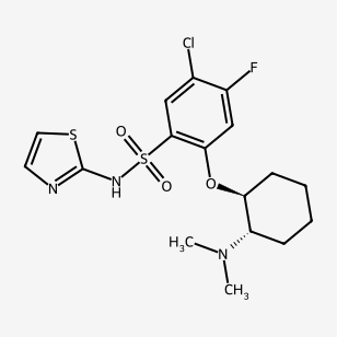 CN(C)[C@H]1CCCC[C@@H]1Oc1cc(F)c(Cl)cc1S(=O)(=O)Nc1nccs1